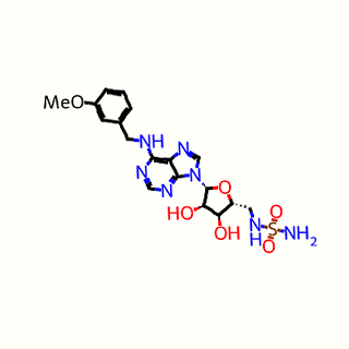 COc1cccc(CNc2ncnc3c2ncn3[C@@H]2O[C@H](CNS(N)(=O)=O)[C@@H](O)[C@H]2O)c1